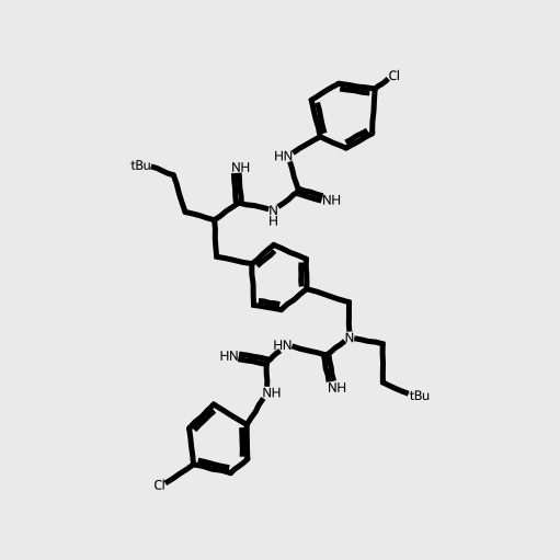 CC(C)(C)CCC(Cc1ccc(CN(CCC(C)(C)C)C(=N)NC(=N)Nc2ccc(Cl)cc2)cc1)C(=N)NC(=N)Nc1ccc(Cl)cc1